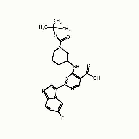 CC(C)(C)OC(=O)N1CCCC(Nc2nc(-c3cnc4ccc(F)cn34)ncc2C(=O)O)C1